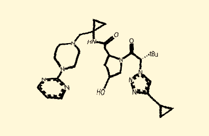 CC(C)(C)[C@@H](C(=O)N1CC(O)CC1C(=O)NC1(CN2CCN(c3ncccn3)CC2)CC1)n1cc(C2CC2)nn1